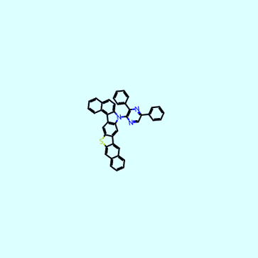 c1ccc(-c2cnc(-n3c4cc5c(cc4c4c6ccccc6ccc43)sc3cc4ccccc4cc35)c(-c3ccccc3)n2)cc1